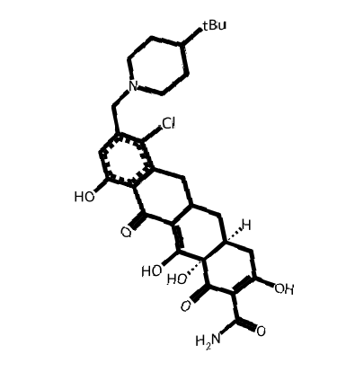 CC(C)(C)C1CCN(Cc2cc(O)c3c(c2Cl)CC2C[C@H]4CC(O)=C(C(N)=O)C(=O)[C@@]4(O)C(O)=C2C3=O)CC1